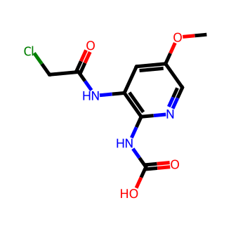 COc1cnc(NC(=O)O)c(NC(=O)CCl)c1